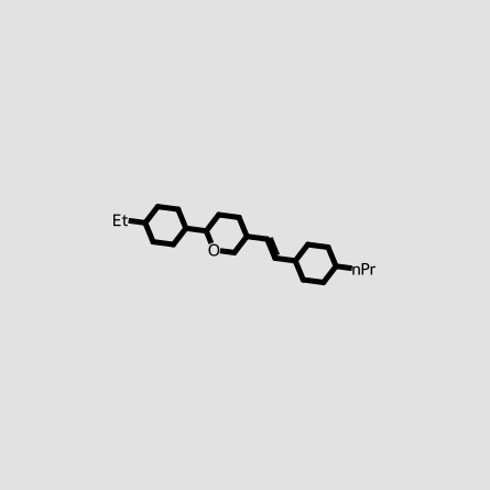 CCCC1CCC(/C=C/C2CCC(C3CCC(CC)CC3)OC2)CC1